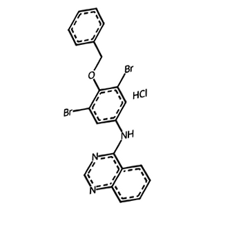 Brc1cc(Nc2ncnc3ccccc23)cc(Br)c1OCc1ccccc1.Cl